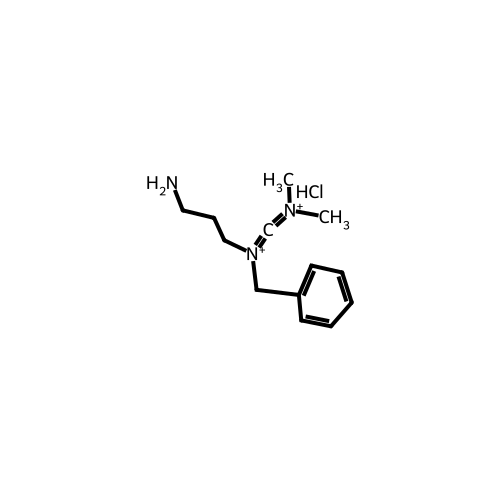 C[N+](C)=C=[N+](CCCN)Cc1ccccc1.Cl